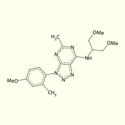 COCC(COC)Nc1nc(C)nc2c1nnn2-c1ccc(OC)cc1C